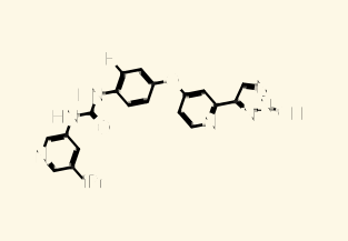 CC(C)c1cncc(NC(=O)Nc2ccc(Oc3ccnc(-c4cnn(C)n4)c3)cc2F)c1